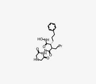 CC(C)CC(C(=O)NN1C(=O)CNCC1=O)[C@@H](CCCc1ccccc1)C(=O)NO